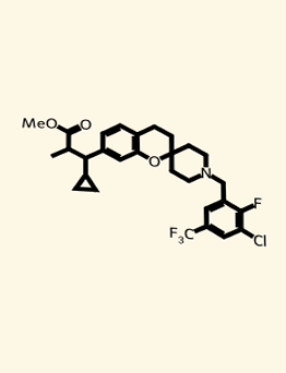 COC(=O)C(C)C(c1ccc2c(c1)OC1(CC2)CCN(Cc2cc(C(F)(F)F)cc(Cl)c2F)CC1)C1CC1